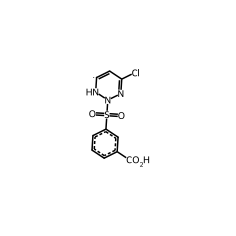 O=C(O)c1cccc(S(=O)(=O)N2N=C(Cl)C=[C]N2)c1